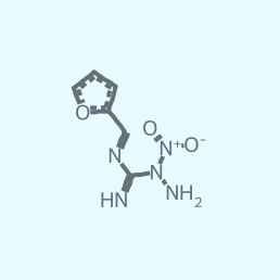 N=C(N=Cc1ccco1)N(N)[N+](=O)[O-]